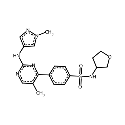 Cc1cnc(Nc2cnn(C)c2)nc1-c1ccc(S(=O)(=O)NC2CCOC2)cc1